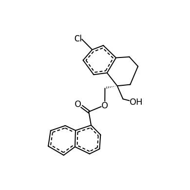 O=C(OC[C@@]1(CO)CCCc2cc(Cl)ccc21)c1cccc2ccccc12